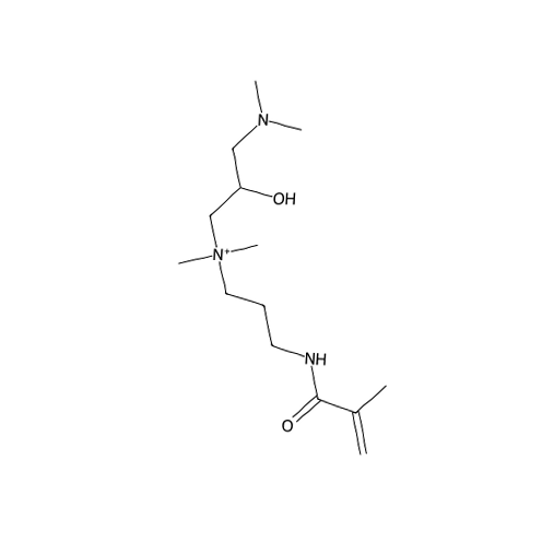 C=C(C)C(=O)NCCC[N+](C)(C)CC(O)CN(C)C